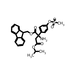 CC(C)OC(=O)CC(N)(C(=O)OCC1c2ccccc2-c2ccccc21)c1ccc(OS(C)(=O)=O)cc1